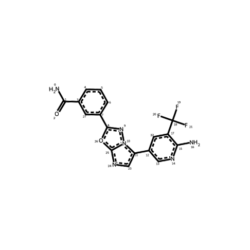 NC(=O)c1cccc(-c2nn3c(-c4cnc(N)c(C(F)(F)F)c4)cnc3o2)c1